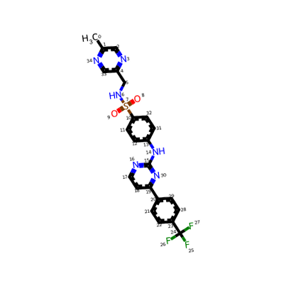 Cc1cnc(CNS(=O)(=O)c2ccc(Nc3nccc(-c4ccc(C(F)(F)F)cc4)n3)cc2)cn1